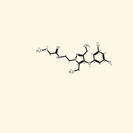 CCc1nn(CCNC(=O)COC)c(CC)c1Oc1cc(Cl)cc(Cl)c1